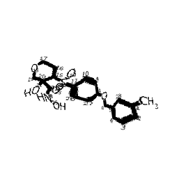 Cc1cccc(COc2ccc(S(=O)(=O)C3CCOCC3(O)C(=O)NO)cc2)c1